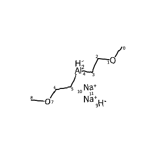 COC[CH2][AlH2-][CH2]COC.[H-].[Na+].[Na+]